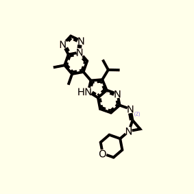 Cc1c(-c2[nH]c3ccc(/N=C4/CN4C4CCOCC4)nc3c2C(C)C)cn2ncnc2c1C